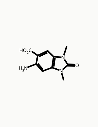 Cn1c(=O)n(C)c2cc(C(=O)O)c(N)cc21